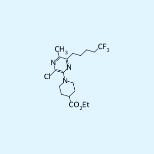 CCOC(=O)C1CCN(c2nc(CCCCC(F)(F)F)c(C)nc2Cl)CC1